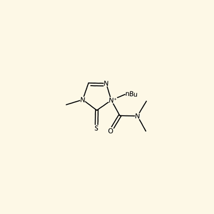 CCCC[N+]1(C(=O)N(C)C)N=CN(C)C1=S